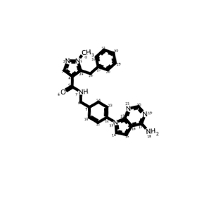 Cn1ncc(C(=O)NCC2C=CC(n3ccc4c(N)ncnc43)=CC2)c1Cc1ccccc1